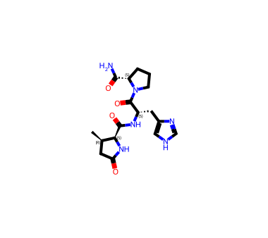 C[C@@H]1CC(=O)N[C@@H]1C(=O)N[C@@H](Cc1c[nH]cn1)C(=O)N1CCC[C@H]1C(N)=O